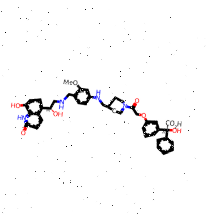 COc1cc(NCC2CCN(C(=O)COc3cccc([C@](O)(C(=O)O)c4ccccc4)c3)CC2)ccc1CNC[C@H](O)c1ccc(O)c2[nH]c(=O)ccc12